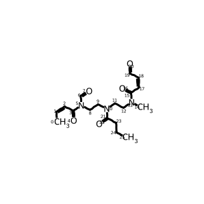 C/C=C\C(=O)N(C=O)CCN(CCN(C)C(=O)/C=C\C=O)C(=O)CCC